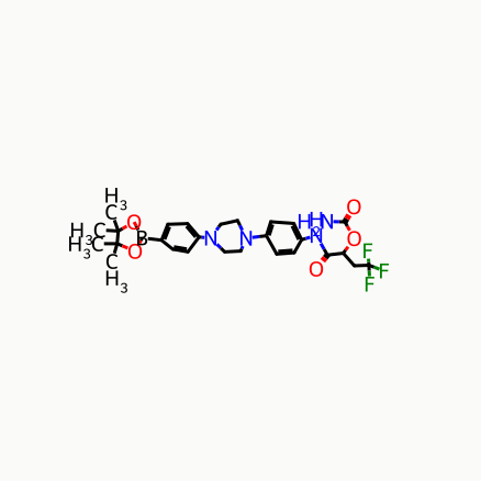 CC1(C)OB(c2ccc(N3CCN(c4ccc(NC(=O)C(CC(F)(F)F)OC(N)=O)cc4)CC3)cc2)OC1(C)C